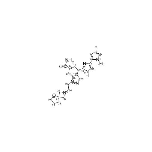 CCn1nc(C)cc1-c1n[nH]c(-c2cc(C(N)=O)cc3c2cnn3CCN2CC3(CCCO3)C2)n1